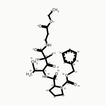 CCOC(=O)CCNC(=O)C(F)(F)C(=O)C(NC(=O)C1CCCN1C(=O)OCc1ccccc1)C(C)C